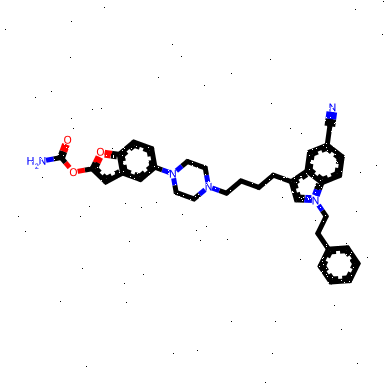 N#Cc1ccc2c(c1)c(CCCCN1CCN(c3ccc4oc(OC(N)=O)cc4c3)CC1)cn2CCc1ccccc1